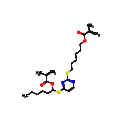 C=C(C)C(=O)OCCCCCCSc1nccc(SC(CCCCC)OC(=O)C(=C)C)n1